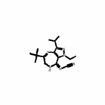 CCn1nc(C(C)C)c2c1/C(=N\C#N)NCC(C(C)(C)C)=N2